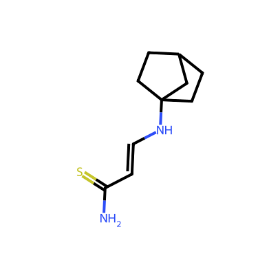 NC(=S)C=CNC12CCC(CC1)C2